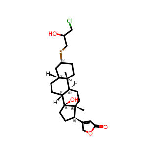 C[C@]12CC[C@H](SCC(O)CCl)C[C@H]1CC[C@@H]1[C@@H]2CC[C@]2(C)[C@@H](C3=CC(=O)OC3)CC[C@]12O